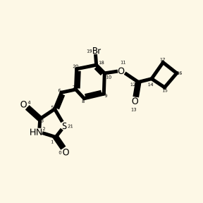 O=C1NC(=O)/C(=C/c2ccc(OC(=O)C3CCC3)c(Br)c2)S1